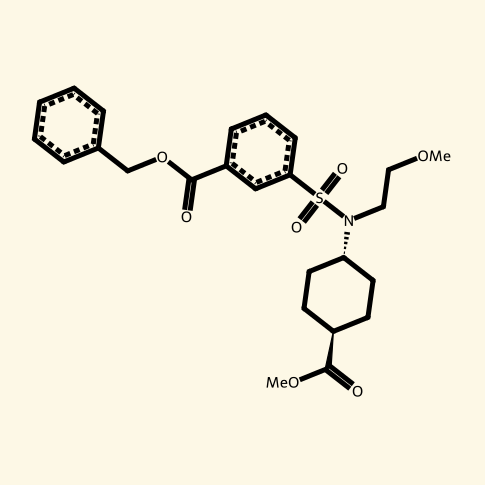 COCCN([C@H]1CC[C@H](C(=O)OC)CC1)S(=O)(=O)c1cccc(C(=O)OCc2ccccc2)c1